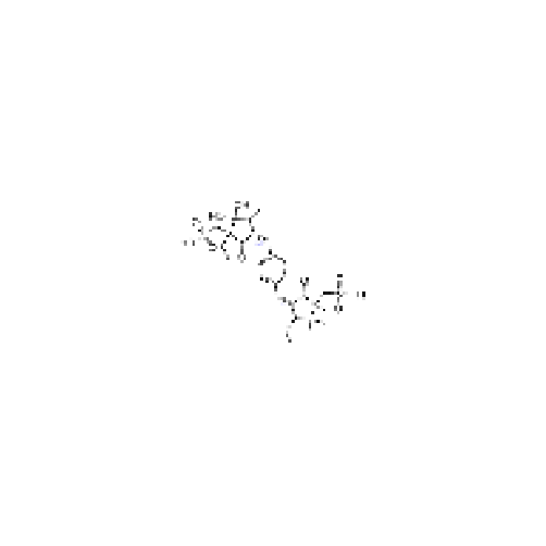 CCC1/C(=C/c2ccc(/C=C3\C(=O)C(CC)(CS(=O)(=O)O)C(O)(O)C3C)cc2)C(=O)C(C)(CS(=O)(=O)O)C1(C)C